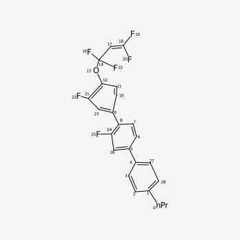 CCCc1ccc(-c2ccc(-c3ccc(OC(F)(F)C=C(F)F)c(F)c3)c(F)c2)cc1